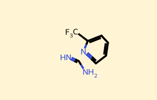 FC(F)(F)c1ccccn1.N=CN